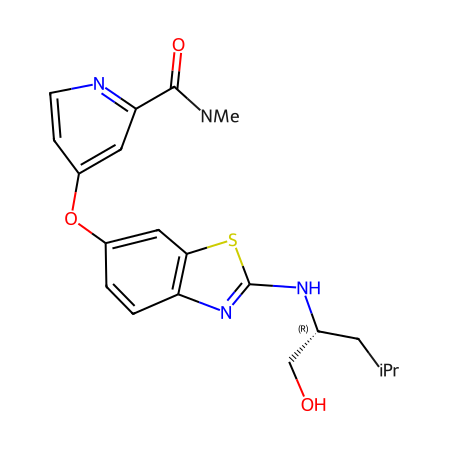 CNC(=O)c1cc(Oc2ccc3nc(N[C@@H](CO)CC(C)C)sc3c2)ccn1